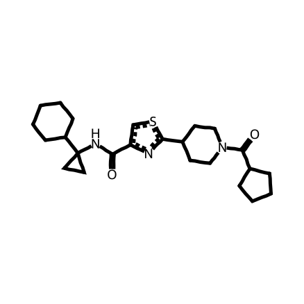 O=C(NC1(C2CCCCC2)CC1)c1csc(C2CCN(C(=O)C3CCCC3)CC2)n1